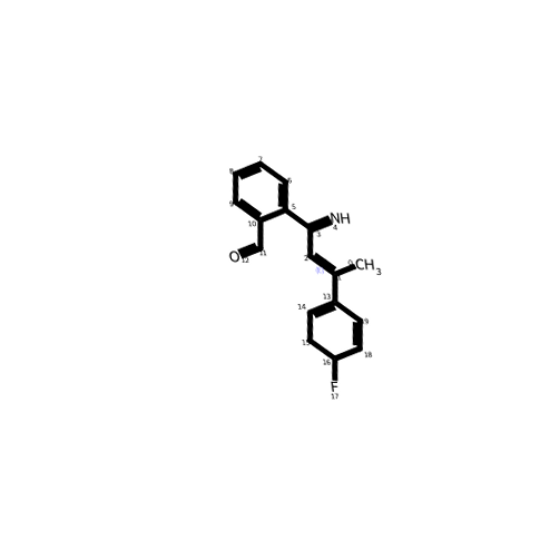 C/C(=C\C(=N)c1ccccc1C=O)C1=CCC(F)C=C1